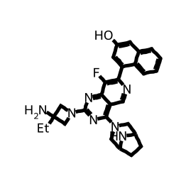 CCC1(N)CN(c2nc(N3CC4CCC(C3)N4)c3cnc(-c4cc(O)cc5ccccc45)c(F)c3n2)C1